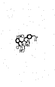 CNCc1ccc(C2ONc3cccc4c(=O)[nH]nc(c34)C2c2ncnn2CCO)cc1